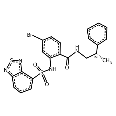 C[C@H](CNC(=O)c1ccc(Br)cc1NS(=O)(=O)c1cccc2nsnc12)c1ccccc1